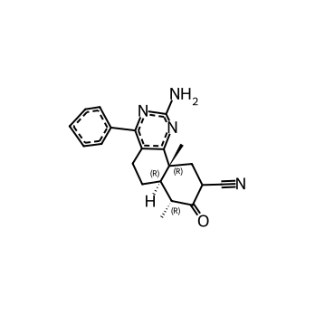 C[C@H]1C(=O)C(C#N)C[C@@]2(C)c3nc(N)nc(-c4ccccc4)c3CC[C@H]12